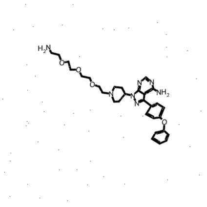 NCCOCCOCCOCCN1CCC(n2nc(-c3ccc(Oc4ccccc4)cc3)c3c(N)ncnc32)CC1